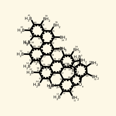 Bc1c(B)c(B)c2c(oc3c(B)c(B)c(B)c(-c4c5c(B)c(B)c(B)c(B)c5c(-c5c(B)c6c(B)c(B)c7c(B)c(B)c(B)c(B)c7c6c6c(B)c(B)c(B)c(B)c56)c5c(B)c(B)c(B)c(B)c45)c32)c1B